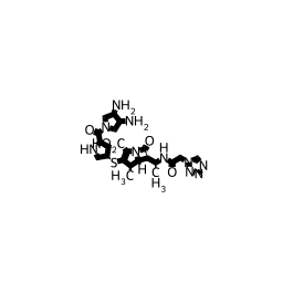 C[C@@H](NC(=O)Cn1cnnn1)[C@H]1C(=O)N2C(C(=O)O)=C(S[C@@H]3CNC(C(=O)N4CC(N)C(N)C4)C3)[C@H](C)[C@@H]12